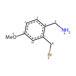 COc1ccc(CN)c(CBr)c1